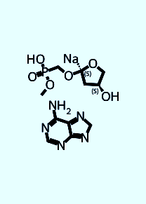 COP(=O)(O)CO[C@]1([Na])C[C@H](O)CO1.Nc1ncnc2c1=NCN=2